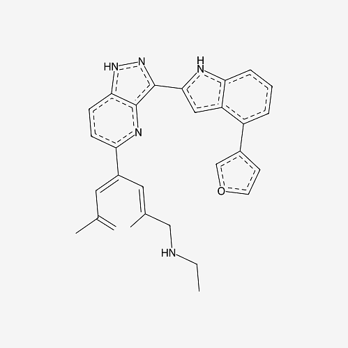 C=C(C)/C=C(\C=C(/C)CNCC)c1ccc2[nH]nc(-c3cc4c(-c5ccoc5)cccc4[nH]3)c2n1